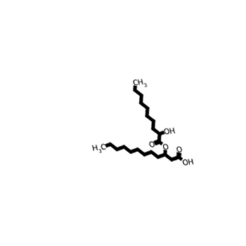 CCCCCCCCCC(CC(=O)O)OC(=O)C(O)CCCCCCCC